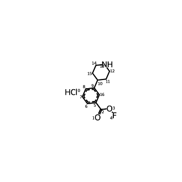 Cl.O=C(OF)c1cccc(C2CCNCC2)c1